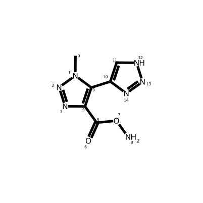 Cn1nnc(C(=O)ON)c1-c1c[nH]nn1